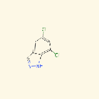 Clc1cc(Cl)c2[nH]ncc2c1